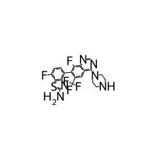 Nc1nc2c(-c3c(C(F)(F)F)cc4c(N5CCNCC5)ncnc4c3F)ccc(F)c2s1